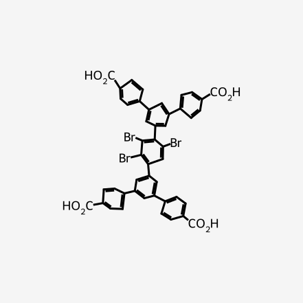 O=C(O)c1ccc(-c2cc(-c3ccc(C(=O)O)cc3)cc(-c3cc(Br)c(-c4cc(-c5ccc(C(=O)O)cc5)cc(-c5ccc(C(=O)O)cc5)c4)c(Br)c3Br)c2)cc1